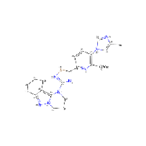 COc1nc(-c2nc(N3CCCn4nc5c(c43)CCCC5)ns2)ccc1-n1cnc(C)c1